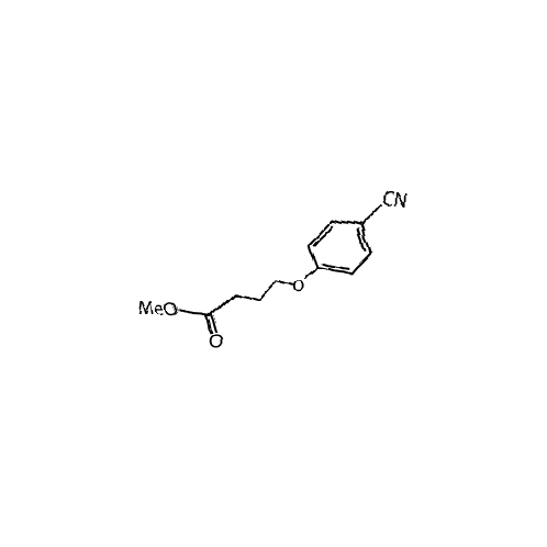 COC(=O)CCCOc1ccc(C#N)cc1